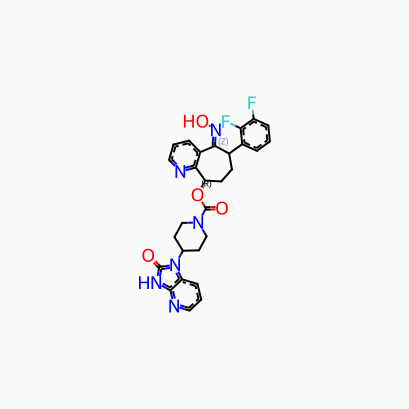 O=C(O[C@@H]1CCC(c2cccc(F)c2F)/C(=N/O)c2cccnc21)N1CCC(n2c(=O)[nH]c3ncccc32)CC1